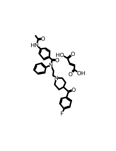 CC(=O)Nc1ccc(C(=O)N(CCN2CCC(C(=O)c3ccc(F)cc3)CC2)c2ccccc2)cc1.O=C(O)C=CC(=O)O